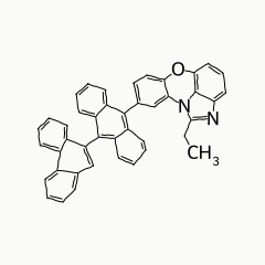 CCc1nc2cccc3c2n1-c1cc(-c2c4ccccc4c(-c4cc5ccccc5c5ccccc45)c4ccccc24)ccc1O3